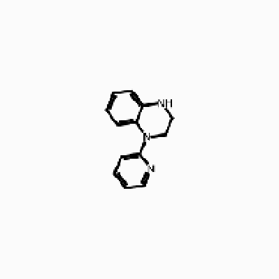 c1ccc(N2CCNc3ccccc32)nc1